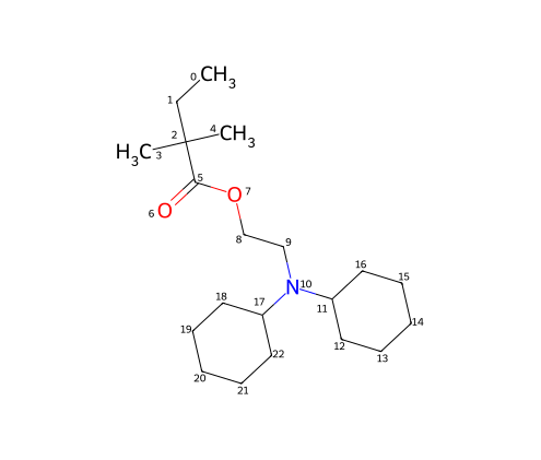 CCC(C)(C)C(=O)OCCN(C1CCCCC1)C1CCCCC1